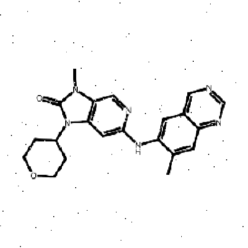 Cc1cc2ncncc2cc1Nc1cc2c(cn1)n(C)c(=O)n2C1CCOCC1